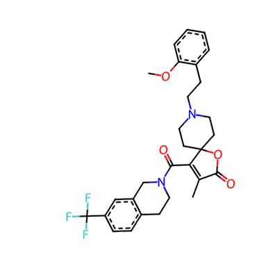 COc1ccccc1CCN1CCC2(CC1)OC(=O)C(C)=C2C(=O)N1CCc2ccc(C(F)(F)F)cc2C1